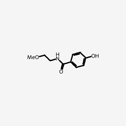 COCCNC(=O)c1ccc(O)cc1